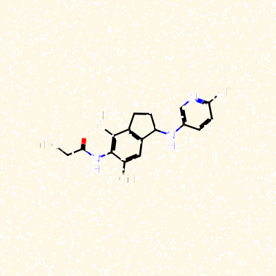 Cc1cc2c(c(C)c1NC(=O)CC(C)(C)C)CCC2Nc1ccc(C(F)(F)F)nc1